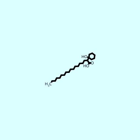 CCCCCCCCCCCCCCCCC(C(=O)O)C1(O)CCCCC1